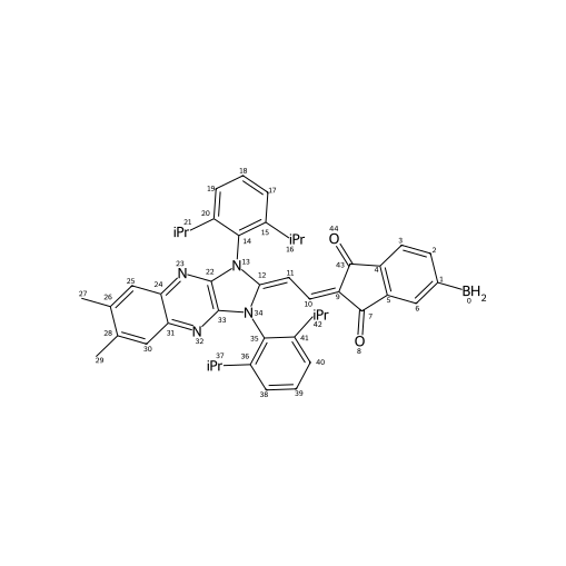 Bc1ccc2c(c1)C(=O)/C(=C/C=C1N(c3c(C(C)C)cccc3C(C)C)c3nc4cc(C)c(C)cc4nc3N1c1c(C(C)C)cccc1C(C)C)C2=O